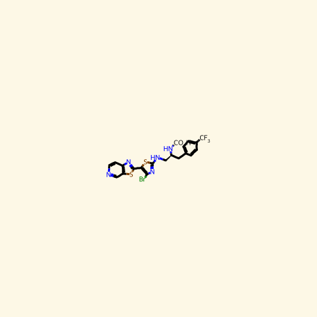 O=C(O)N[C@H](CNc1nc(Br)c(-c2nc3ccncc3s2)s1)Cc1ccc(C(F)(F)F)cc1